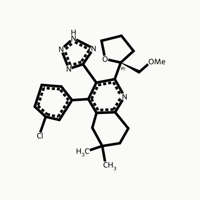 COC[C@]1(c2nc3c(c(-c4cccc(Cl)c4)c2-c2nn[nH]n2)CC(C)(C)CC3)CCCO1